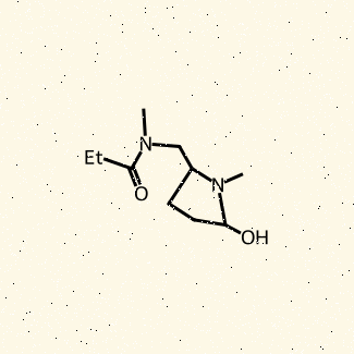 CCC(=O)N(C)CC1CCC(O)N1C